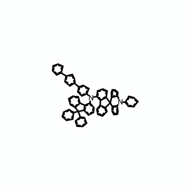 c1ccc(-c2ccc(-c3ccc(N(c4cccc5c4-c4ccccc4C5(c4ccccc4)c4ccccc4)c4cccc5c4-c4ccccc4C54c5ccccc5N(c5ccccc5)c5ccccc54)cc3)cc2)cc1